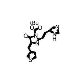 CC(C)(C)OC(=O)N1C(=O)/C(=C/c2ccsc2)N=C1/C=C/c1cnc[nH]1